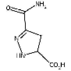 NC(=O)C1=NNC(C(=O)O)C1